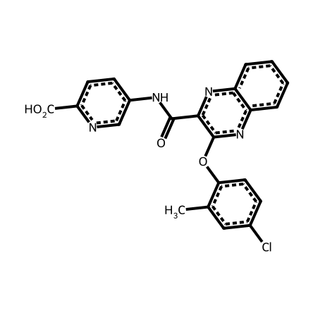 Cc1cc(Cl)ccc1Oc1nc2ccccc2nc1C(=O)Nc1ccc(C(=O)O)nc1